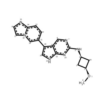 CO[C@H]1C[C@@H](Nc2ncc3c(-c4ccc5nccn5c4)c[nH]c3n2)C1